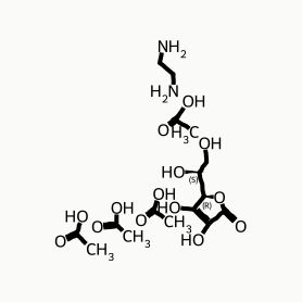 CC(=O)O.CC(=O)O.CC(=O)O.CC(=O)O.NCCN.O=C1O[C@H]([C@@H](O)CO)C(O)=C1O